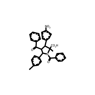 Cc1ccc(C2C(C(=O)c3ccccc3)C(c3ccc([N+](=O)[O-])cc3)C(C)(C(=O)O)N2C(=O)c2ccccc2)cc1